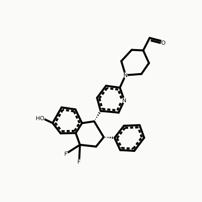 O=CC1CCN(c2ccc([C@H]3c4ccc(O)cc4C(F)(F)C[C@H]3c3ccccc3)cn2)CC1